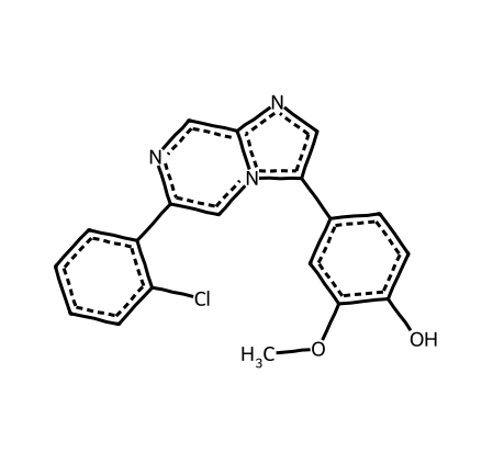 COc1cc(-c2cnc3cnc(-c4ccccc4Cl)cn23)ccc1O